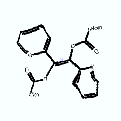 CCCCCCCCCC(=O)O/C(=C(/OC(=O)CCCCCCCCC)c1ccccn1)c1ccccn1